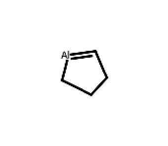 [CH]1=[Al][CH2]CC1